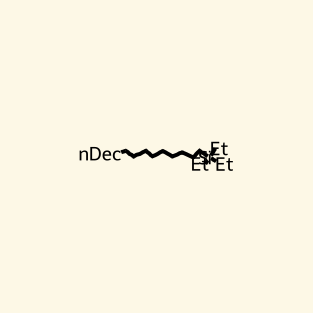 [CH2]CCCCCCCCCCCCCCCCCC[Si](CC)(CC)CC